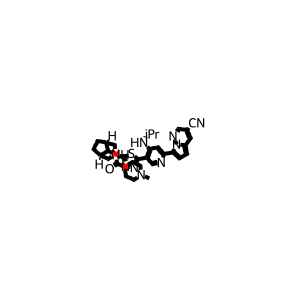 CC(C)Nc1cc(-c2ccc3cc(C#N)cnn23)ncc1-c1nnc(N2C[C@H]3CC[C@@H](C2)C3NC(=O)C2CCN(C)CC2)s1